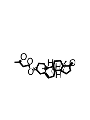 CC(=O)CC(=O)O[C@H]1CC[C@@]2(C)C(=CC[C@@H]3[C@@H]2CC[C@]2(C)C(=O)CC[C@@H]32)C1